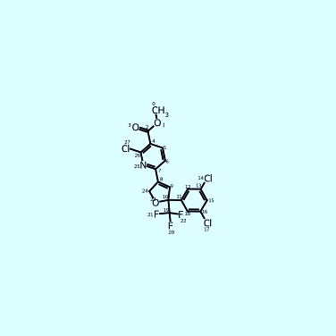 COC(=O)c1ccc(C2=CC(c3cc(Cl)cc(Cl)c3)(C(F)(F)F)OC2)nc1Cl